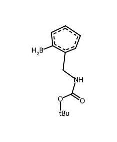 Bc1ccccc1CNC(=O)OC(C)(C)C